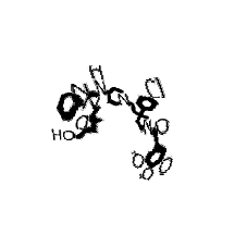 COc1cc(C(=O)N2CCC(CCN3CCC(Nc4nc5ccccc5n4Cc4ccc(CO)o4)CC3)(c3ccc(Cl)cc3)C2)cc(OC)c1OC